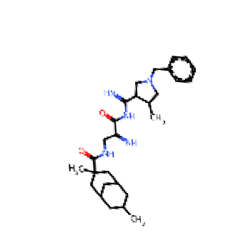 CC1CC2CC(C1)CC(C)(C(=O)NCC(=N)C(=O)NC(=N)C1CN(Cc3ccccc3)CC1C)C2